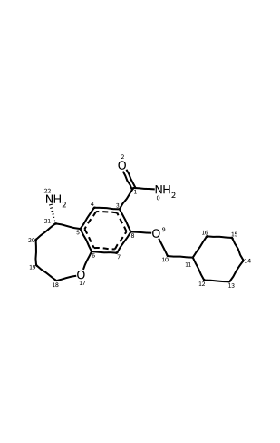 NC(=O)c1cc2c(cc1OCC1CCCCC1)OCCC[C@@H]2N